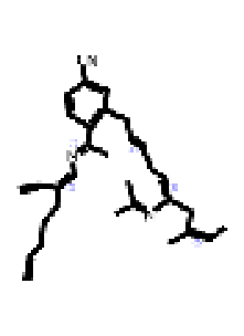 C=CCCC/C(C=C)=C/N=C(\C)c1ccc(C#N)cc1C/C=C/C/C=C(/C/C(C)=C\C)N=C(C)C